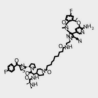 CN[C@@H](C)C(=O)N[C@H](C(=O)N1CCC[C@H]1C1=NC(C(=O)c2ccc(F)cc2)CS1)C1CCN(C(=O)CCCCCCCCC(=O)NCCn2nc3c(c2C#N)-c2cnc(N)c(c2)O[C@H](C)c2cc(F)ccc2C(=O)N(C)C3)CC1